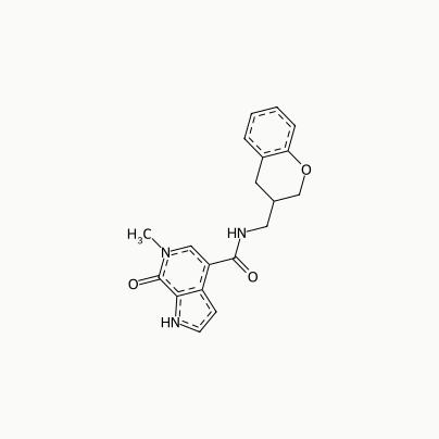 Cn1cc(C(=O)NCC2COc3ccccc3C2)c2cc[nH]c2c1=O